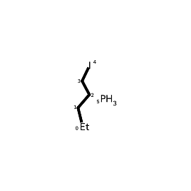 CCCCCI.P